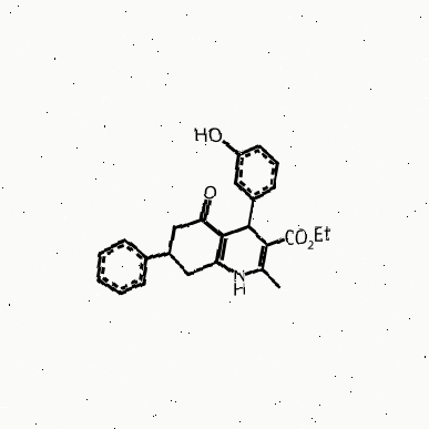 CCOC(=O)C1=C(C)NC2=C(C(=O)CC(c3ccccc3)C2)C1c1cccc(O)c1